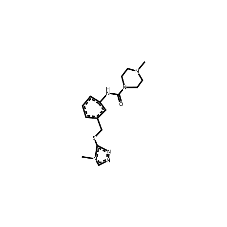 CN1CCN(C(=O)Nc2cccc(CSc3nncn3C)c2)CC1